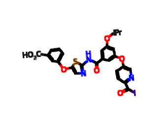 CC(C)Oc1cc(Oc2ccc(C(=O)I)nc2)cc(C(=O)Nc2ncc(Oc3cccc(C(=O)O)c3)s2)c1